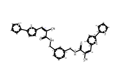 N#C/C(=C/c1ccc(-c2cccs2)s1)C(=O)NCc1cccc(CNC(=O)/C(C#N)=C\c2ccc(-c3cccs3)s2)c1